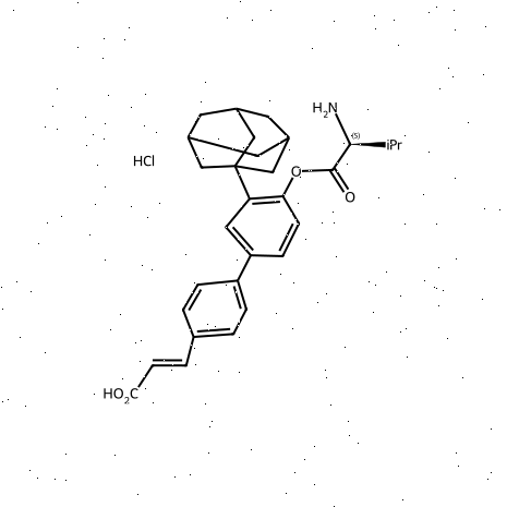 CC(C)[C@H](N)C(=O)Oc1ccc(-c2ccc(C=CC(=O)O)cc2)cc1C12CC3CC(CC(C3)C1)C2.Cl